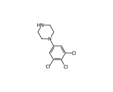 Clc1cc(N2CCNCC2)cc(Cl)c1Cl